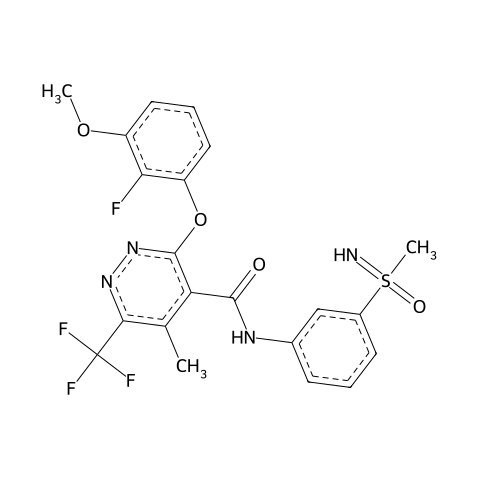 COc1cccc(Oc2nnc(C(F)(F)F)c(C)c2C(=O)Nc2cccc(S(C)(=N)=O)c2)c1F